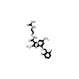 Cc1cc(OCc2c(F)cccc2F)c2nc(C)c(C(=O)NOCCNC(=O)O)n2c1